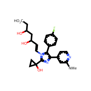 CNc1cc(-c2nc(C3(O)CC3)n(/C=C/C(O)CC(O)CC(=O)O)c2-c2ccc(F)cc2)ccn1